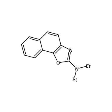 CCN(CC)c1nc2ccc3ccccc3c2o1